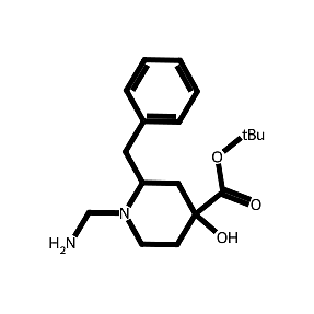 CC(C)(C)OC(=O)C1(O)CCN(CN)C(Cc2ccccc2)C1